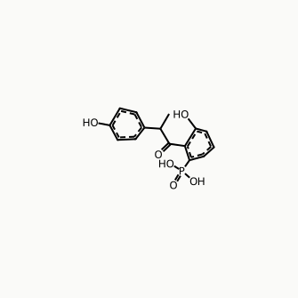 CC(C(=O)c1c(O)cccc1P(=O)(O)O)c1ccc(O)cc1